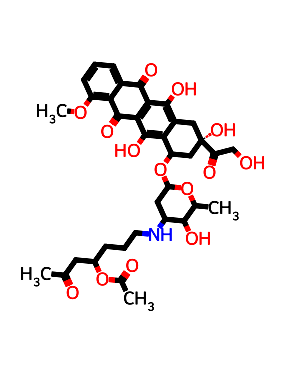 COc1cccc2c1C(=O)c1c(O)c3c(c(O)c1C2=O)C[C@@](O)(C(=O)CO)CC3OC1CC(NCCCC(CC(C)=O)OC(C)=O)C(O)C(C)O1